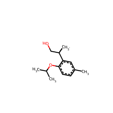 [CH2]C(CO)c1cc(C)ccc1OC(C)C